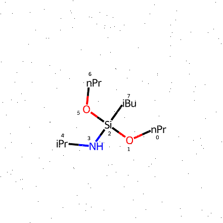 CCCO[Si](NC(C)C)(OCCC)C(C)CC